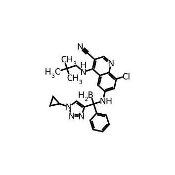 BC(Nc1cc(Cl)c2ncc(C#N)c(NCC(C)(C)C)c2c1)(c1ccccc1)c1cn(C2CC2)nn1